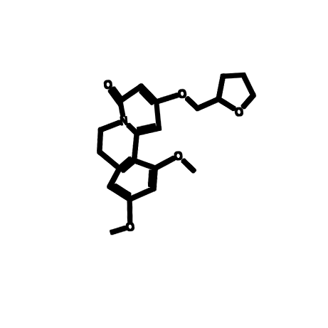 COc1cc2c(c(OC)c1)-c1cc(OCC3CCCO3)cc(=O)n1CC2